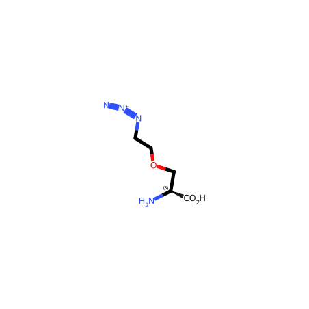 [N-]=[N+]=NCCOC[C@H](N)C(=O)O